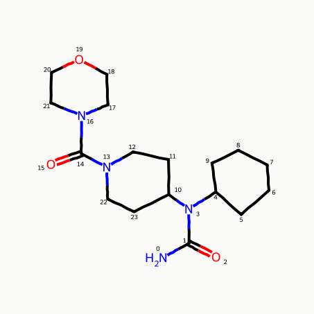 NC(=O)N(C1CCCCC1)C1CCN(C(=O)N2CCOCC2)CC1